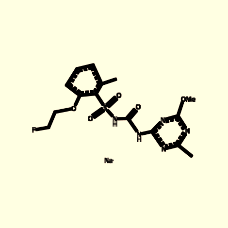 COc1nc(C)nc(NC(=O)NS(=O)(=O)c2c(C)cccc2OCCF)n1.[Na]